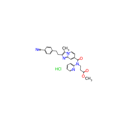 COC(=O)CCN(C(=O)c1ccn2c(C)c(CCc3ccc(C#N)cc3)nc2c1)c1ccccn1.Cl